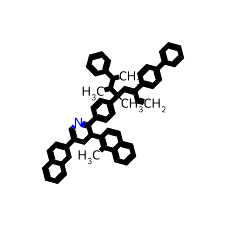 C=C/C(=C\[C@@](C)(c1ccc(C2=NC=C(C3=CC=C4C=CC=CC4C3)CC2c2ccc3ccccc3c2C)cc1)C(C)C(C)c1ccccc1)c1ccc(-c2ccccc2)cc1